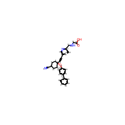 N#CC1CCC(C#Cc2ccc(CNCC(=O)O)nc2)(Oc2ccc(-c3ccccc3)cc2)CC1